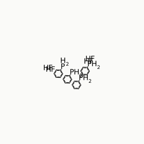 F.F.F.F.Pc1ccccc1.Pc1ccccc1.Pc1ccccc1.Pc1ccccc1